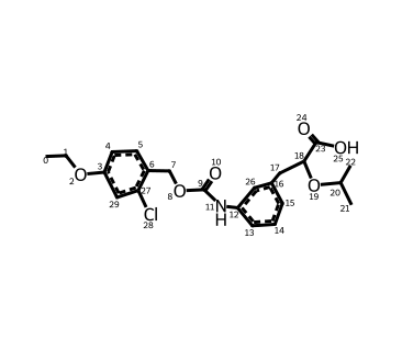 CCOc1ccc(COC(=O)Nc2cccc(CC(OC(C)C)C(=O)O)c2)c(Cl)c1